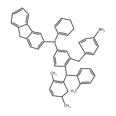 Bc1ccc(Cc2cc(N(C3=CCCC=C3)c3ccc4c(c3)-c3ccccc3C4)ccc2B(C2=C(C)C=CC(C)C2)c2ccccc2C)cc1